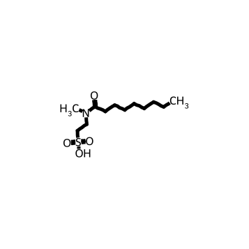 CCCCCCCCC(=O)N(C)CCS(=O)(=O)O